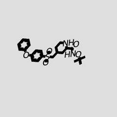 CC(C)(C)ONC(=O)C1CC(CS(=O)(=O)c2ccc(Oc3ccccc3)cc2)CCN1